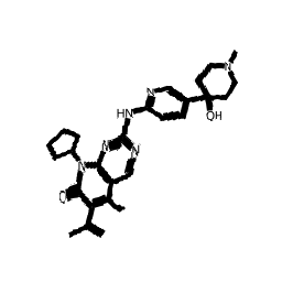 C=C(C)c1c(C)c2cnc(Nc3ccc(C4(O)CCN(C)CC4)cn3)nc2n(C2CCCC2)c1=O